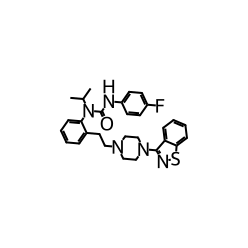 CC(C)N(C(=O)Nc1ccc(F)cc1)c1ccccc1CCN1CCN(c2nsc3ccccc23)CC1